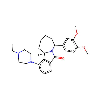 CCN1CCN(c2cccc3c2[C@H]2CCCCC(c4ccc(OC)c(OC)c4)N2C3=O)CC1